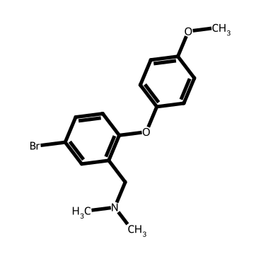 COc1ccc(Oc2ccc(Br)cc2CN(C)C)cc1